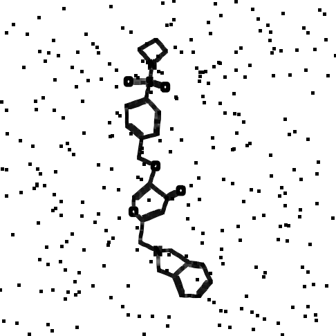 O=c1cc(CN2Cc3ccccc3C2)occ1OCc1ccc(S(=O)(=O)N2CCC2)cc1